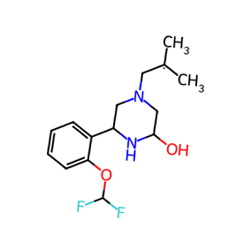 C[C](C)CN1CC(O)NC(c2ccccc2OC(F)F)C1